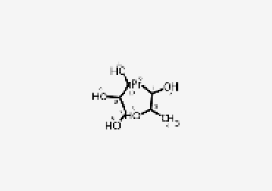 CCCC(O)C(C)O.OCC(O)CO